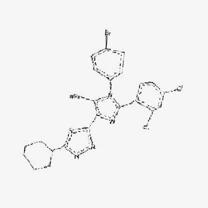 CCCc1c(-c2nnc(C3CCCCC3)s2)nc(-c2ccc(Cl)cc2Cl)n1-c1ccc(Br)cc1